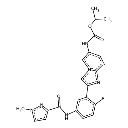 CC(C)OC(=O)Nc1cnc2nc(-c3cc(NC(=O)c4ccn(C)n4)ccc3F)cn2c1